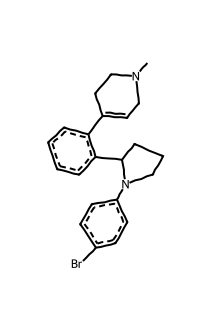 CN1CC=C(c2ccccc2C2CCCN2c2ccc(Br)cc2)CC1